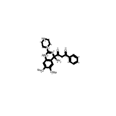 COc1cc2c(cc1OC)C(N)(C(=O)CC(=O)c1ccccc1)N=C(N1CCNCC1)N2